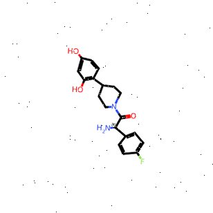 N[C@@H](C(=O)N1CCC(c2ccc(O)cc2O)CC1)c1ccc(F)cc1